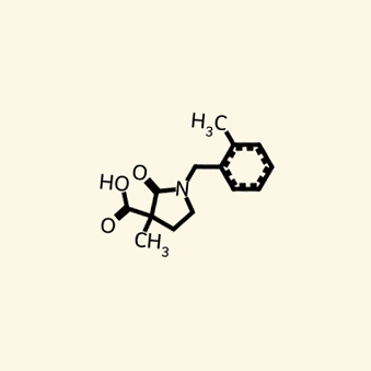 Cc1ccccc1CN1CCC(C)(C(=O)O)C1=O